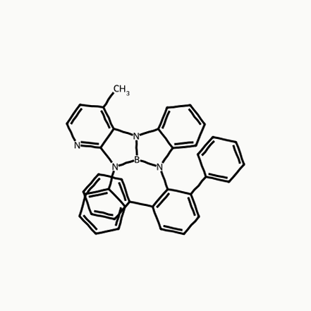 Cc1ccnc2c1N1B(N2c2ccccc2)N(c2c(-c3ccccc3)cccc2-c2ccccc2)c2ccccc21